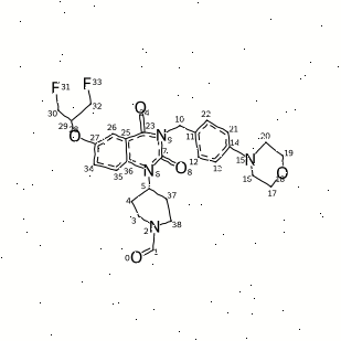 O=CN1CCC(n2c(=O)n(Cc3ccc(N4CCOCC4)cc3)c(=O)c3cc(OC(CF)CF)ccc32)CC1